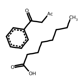 CC(=O)CC(=O)c1ccccc1.CCCCCCCC(=O)O